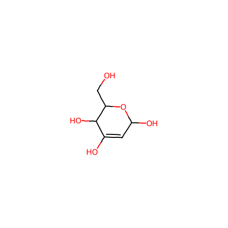 OCC1OC(O)C=C(O)C1O